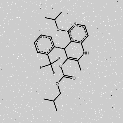 CC1=C(OC(=O)OCC(C)C)C(c2ccccc2C(F)(F)F)c2c(ccnc2OC(C)C)N1